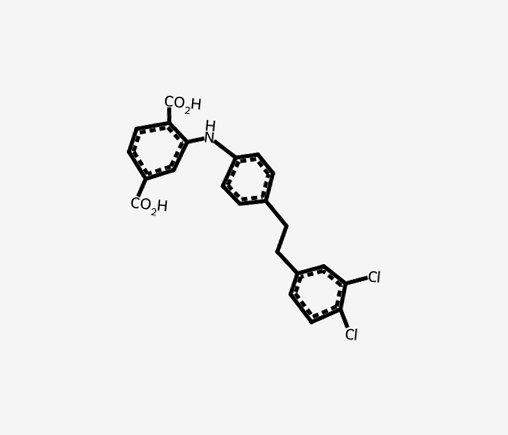 O=C(O)c1ccc(C(=O)O)c(Nc2ccc(CCc3ccc(Cl)c(Cl)c3)cc2)c1